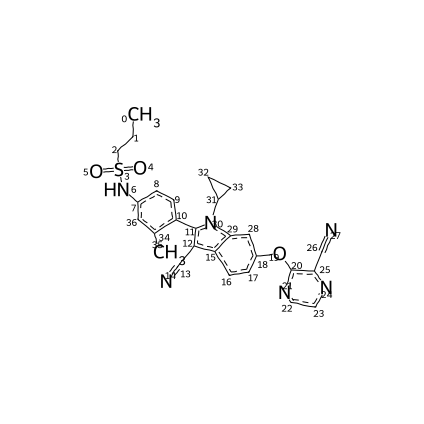 CCCS(=O)(=O)Nc1ccc(-c2c(C#N)c3ccc(Oc4nccnc4C#N)cc3n2C2CC2)c(C)c1